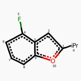 CC(C)c1cc2c(F)cccc2o1